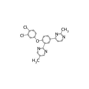 Cc1cnc(-c2cc(-c3ccnc(C)n3)ccc2Oc2ccc(Cl)c(Cl)c2)nc1